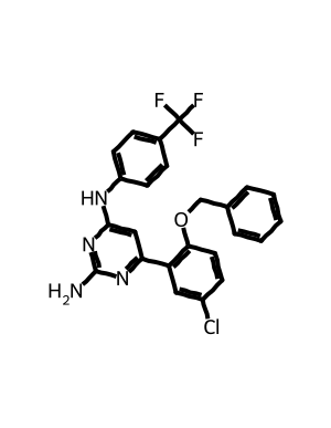 Nc1nc(Nc2ccc(C(F)(F)F)cc2)cc(-c2cc(Cl)ccc2OCc2ccccc2)n1